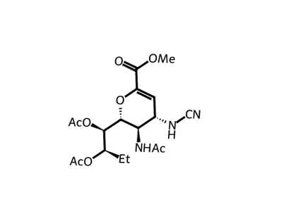 CC[C@@H](OC(C)=O)[C@@H](OC(C)=O)[C@@H]1OC(C(=O)OC)=C[C@H](NC#N)[C@H]1NC(C)=O